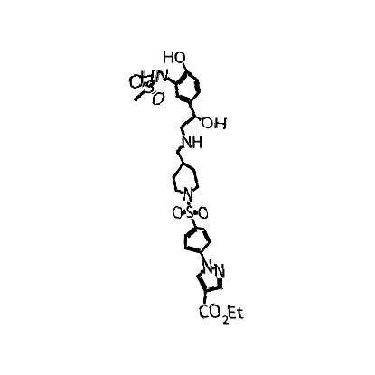 CCOC(=O)c1cnn(-c2ccc(S(=O)(=O)N3CCC(CNC[C@H](O)c4ccc(O)c(NS(C)(=O)=O)c4)CC3)cc2)c1